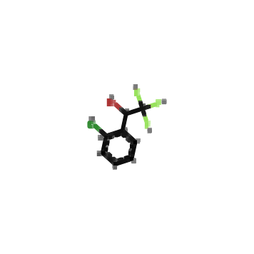 FC(F)(F)C(Br)c1ccccc1Cl